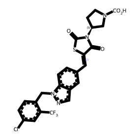 O=C(O)N1CC[C@H](N2C(=O)S/C(=C\c3ccc4c(cnn4Cc4ccc(Cl)cc4C(F)(F)F)c3)C2=O)C1